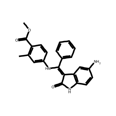 COC(=O)c1ccc(N/C(=C2\C(=O)Nc3ccc(N)cc32)c2ccccc2)cc1C